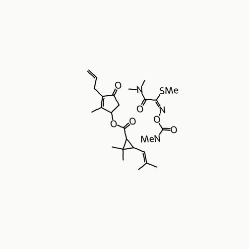 C=CCC1=C(C)C(OC(=O)C2C(C=C(C)C)C2(C)C)CC1=O.CNC(=O)ON=C(SC)C(=O)N(C)C